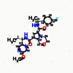 CC[C@H](NC(=O)c1cc(C(=O)N[C@H](C)c2ccc(F)cc2)n2c1COCC2)c1cnc(OC)cn1